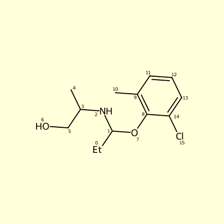 CCC(NC(C)CO)Oc1c(C)cccc1Cl